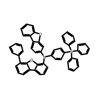 c1ccc(-c2cccc3c2oc2c(N(c4ccc([Si](c5ccccc5)(c5ccccc5)c5ccccc5)cc4)c4ccc5c(c4)oc4ccccc45)cccc23)cc1